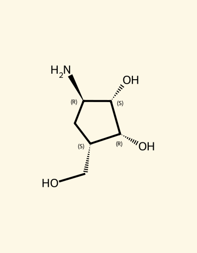 N[C@@H]1C[C@@H](CO)[C@@H](O)[C@H]1O